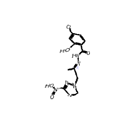 C/C(Cn1cnc([N+](=O)O)n1)=N\NC(=O)c1ccc(Cl)cc1O